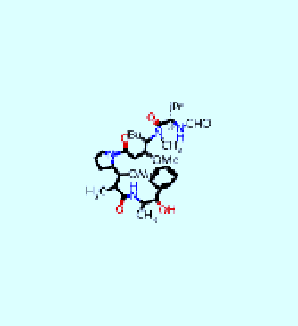 CCC(C)C(C(CC(=O)N1CCCC1C(OC)C(C)C(=O)NC(C)C(O)c1ccccc1)OC)N(C)C(=O)[C@@H](NC=O)C(C)C